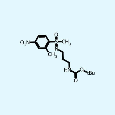 Cc1cc([N+](=O)[O-])ccc1S(C)(=O)=NCCCNC(=O)OC(C)(C)C